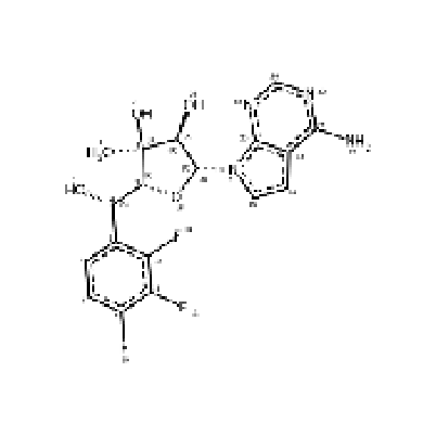 C[C@@]1(O)[C@@H]([C@@H](O)c2ccc(F)c(F)c2F)O[C@@H](n2ccc3c(N)ncnc32)[C@@H]1O